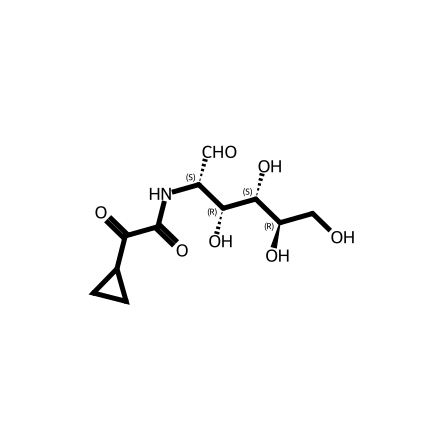 O=C[C@@H](NC(=O)C(=O)C1CC1)[C@@H](O)[C@H](O)[C@H](O)CO